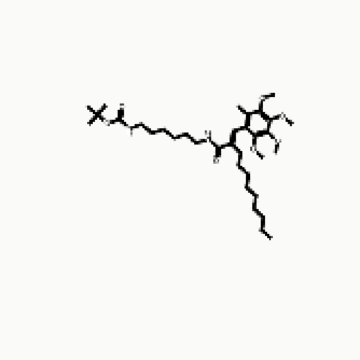 CCCCCCCCC/C(=C\c1c(C)c(OC)c(OC)c(OC)c1OC)C(=O)NCCCCCCNC(=O)OC(C)(C)C